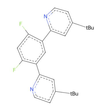 CC(C)(C)c1ccnc(-c2cc(-c3cc(C(C)(C)C)ccn3)c(F)cc2F)c1